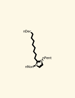 CCCCCCCCCCCCCCCCCCc1n(CCCCCCCCC)cc[n+]1CCCCC